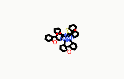 c1ccc(-c2nc(-c3ccccc3)nc(-c3cccc4oc5cccc(-c6nc(-c7ccc8c(c7)oc7ccccc78)c7sc8ccccc8c7n6)c5c34)n2)cc1